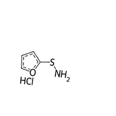 Cl.NSc1ccco1